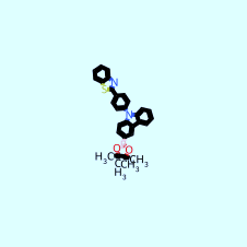 CC1(C)OB(c2ccc3c(c2)c2ccccc2n3-c2ccc(-c3nc4ccccc4s3)cc2)OC1(C)C